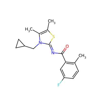 Cc1ccc(F)cc1C(=O)/N=c1\sc(C)c(C)n1CC1CC1